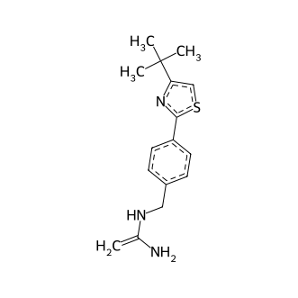 C=C(N)NCc1ccc(-c2nc(C(C)(C)C)cs2)cc1